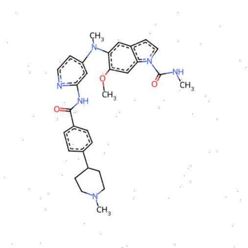 CNC(=O)n1ccc2cc(N(C)c3ccnc(NC(=O)c4ccc(C5CCN(C)CC5)cc4)c3)c(OC)cc21